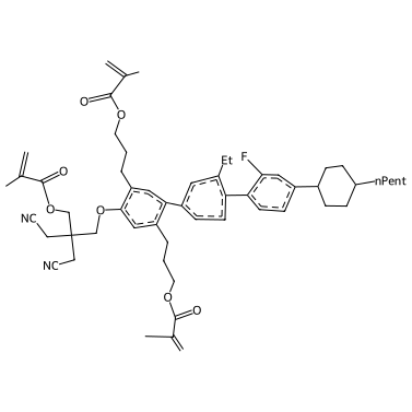 C=C(C)C(=O)OCCCc1cc(-c2ccc(-c3ccc(C4CCC(CCCCC)CC4)cc3F)c(CC)c2)c(CCCOC(=O)C(=C)C)cc1OCC(CC#N)(CC#N)COC(=O)C(=C)C